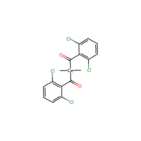 [CH3][Ge]([CH3])([C](=O)c1c(Cl)cccc1Cl)[C](=O)c1c(Cl)cccc1Cl